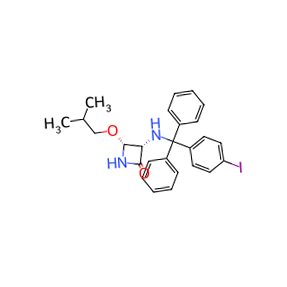 CC(C)CO[C@H]1NC(=O)[C@H]1NC(c1ccccc1)(c1ccccc1)c1ccc(I)cc1